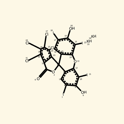 O=C1OC2(c3cc(I)c(O)c(I)c3Oc3c2cc(I)c(O)c3I)c2c(Cl)c(Cl)c(Cl)c(Cl)c21.[KH].[KH]